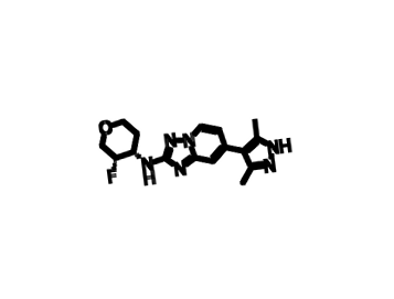 Cc1n[nH]c(C)c1-c1ccn2nc(N[C@H]3CCOC[C@H]3F)nc2c1